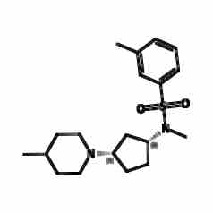 Cc1cccc(S(=O)(=O)N(C)[C@@H]2CC[C@H](N3CCC(C)CC3)C2)c1